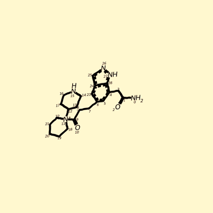 NC(=O)Cc1cc(C[CH]C(=O)[N+]2(C3CCNCC3)CCCCC2)cc2cn[nH]c12